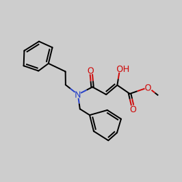 COC(=O)C(O)=CC(=O)N(CCc1ccccc1)Cc1ccccc1